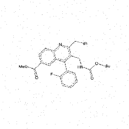 COC(=O)c1ccc2nc(CC(C)C)c(CNC(=O)OC(C)(C)C)c(-c3ccccc3F)c2c1